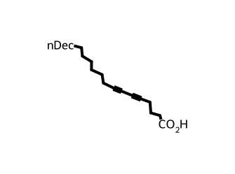 CCCCCCCCCCCCCCCCC#CC#CCCCC(=O)O